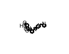 O=C1CCC(N2Cc3c(cccc3N3CC4(CCN(Cc5ccccn5)CC4)C3)C2=O)C(=O)N1